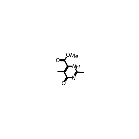 COC(=O)c1[nH]c(C)nc(=O)c1C